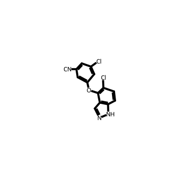 [C-]#[N+]c1cc(Cl)cc(Oc2c(Cl)ccc3[nH]ncc23)c1